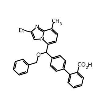 CCc1cn2c(C(OCc3ccccc3)c3ccc(-c4ccccc4C(=O)O)cc3)ccc(C)c2n1